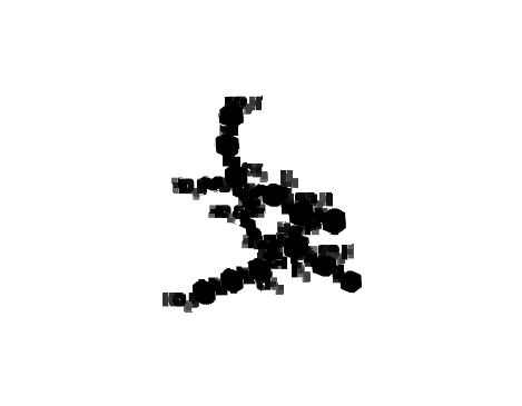 CCCOc1cc(N=Nc2ccc(N=Nc3ccccc3)cc2S(=O)(=O)O)c(C)cc1Nc1nc(NCCCCC(Nc2nc(Cc3ccc(N=Nc4ccc(N=Nc5ccccc5)cc4S(=O)(=O)O)c(C)c3)nc(Cc3cc(C)c(N=Nc4ccc(N=Nc5ccc(S(=O)(=O)O)cc5)cc4)cc3OCCCS(=O)(=O)O)n2)C(=O)O)nc(Nc2ccc(N=Nc3ccc(N=Nc4ccc(S(=O)(=O)O)cc4)cc3)c(C)c2)n1